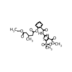 CCOC(=O)CC(C)CC(=O)Oc1ccccc1C(=O)Nc1nc(C(=O)OC)c(S(C)(=O)=O)s1